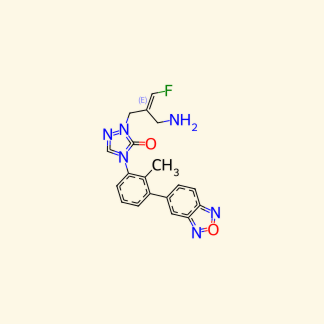 Cc1c(-c2ccc3nonc3c2)cccc1-n1cnn(C/C(=C/F)CN)c1=O